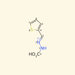 O=C(O)N/N=C/c1cccs1